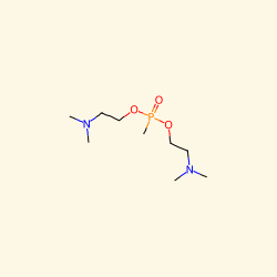 CN(C)CCOP(C)(=O)OCCN(C)C